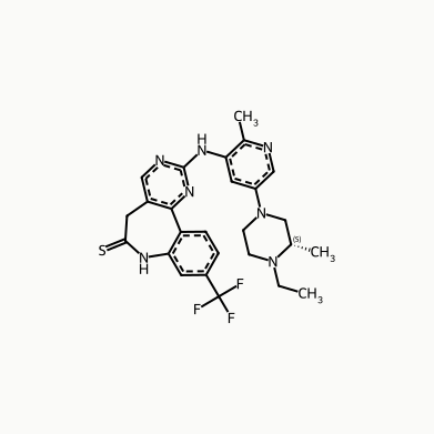 CCN1CCN(c2cnc(C)c(Nc3ncc4c(n3)-c3ccc(C(F)(F)F)cc3NC(=S)C4)c2)C[C@@H]1C